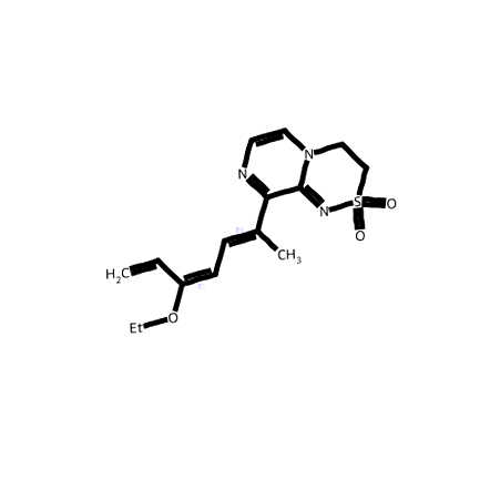 C=C/C(=C\C=C(/C)C1=NC=CN2CCS(=O)(=O)N=C12)OCC